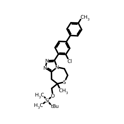 Cc1ccc(-c2ccc(-c3nnc4n3CCSC(C)(CO[Si](C)(C)C(C)(C)C)C4)c(Cl)c2)cc1